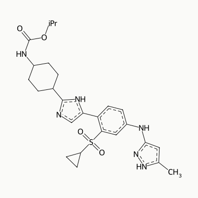 Cc1cc(Nc2ccc(-c3cnc(C4CCC(NC(=O)OC(C)C)CC4)[nH]3)c(S(=O)(=O)C3CC3)c2)n[nH]1